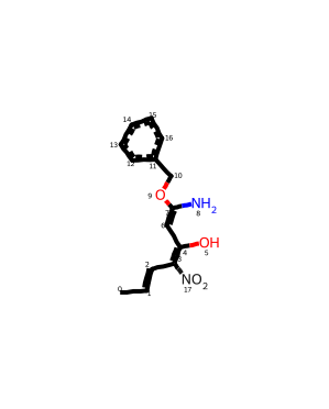 C/C=C/C(=C(O)\C=C(/N)OCc1ccccc1)[N+](=O)[O-]